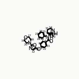 C[C@H]1[C@H](N(C(=O)c2ccc(Oc3cnc(N4CCOCC4)o3)cc2)c2ccccc2)C2CCN1CC2